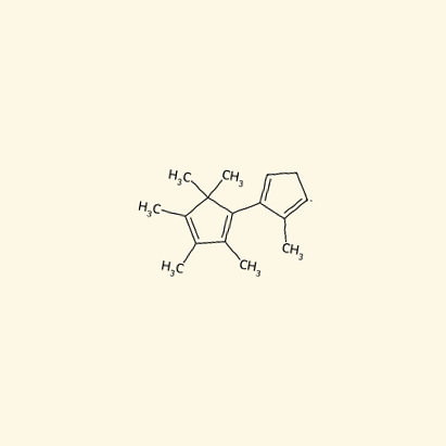 CC1=[C]CC=C1C1=C(C)C(C)=C(C)C1(C)C